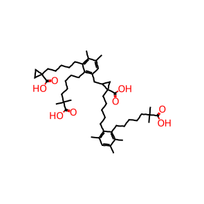 Cc1cc(C)c(CCCCCC2(C(=O)O)CC2Cc2cc(C)c(C)c(CCCCCC3(C(=O)O)CC3)c2CCCCCC(C)(C)C(=O)O)c(CCCCCC(C)(C)C(=O)O)c1C